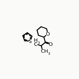 CC(C)C(=O)C1CCCCO1.c1ccsc1